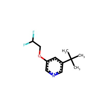 CC(C)(C)c1cncc(OCC(F)F)c1